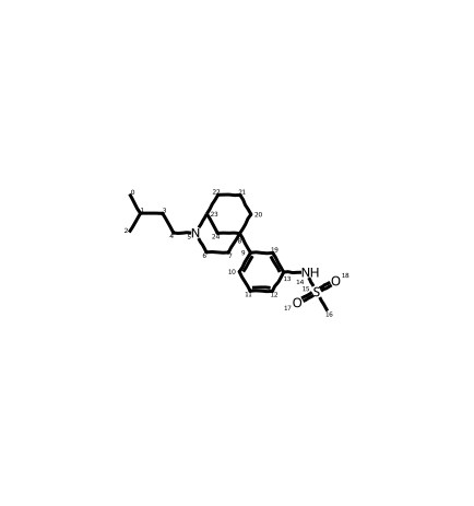 CC(C)CCN1CCC2(c3cccc(NS(C)(=O)=O)c3)CCCC1C2